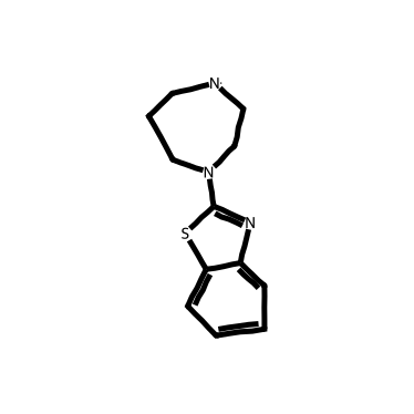 c1ccc2sc(N3CCC[N]CC3)nc2c1